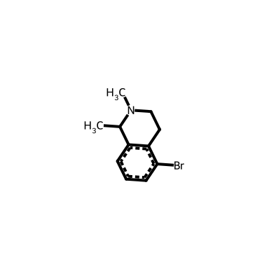 CC1c2cccc(Br)c2CCN1C